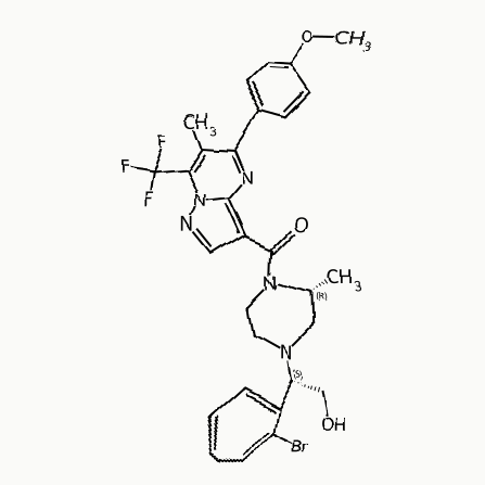 COc1ccc(-c2nc3c(C(=O)N4CCN([C@H](CO)c5ccccc5Br)C[C@H]4C)cnn3c(C(F)(F)F)c2C)cc1